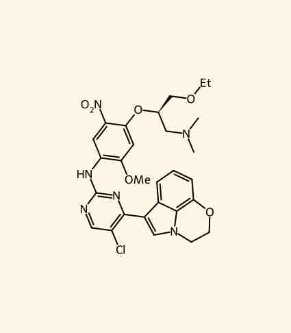 CCOC[C@@H](CN(C)C)Oc1cc(OC)c(Nc2ncc(Cl)c(-c3cn4c5c(cccc35)OCC4)n2)cc1[N+](=O)[O-]